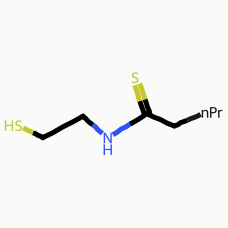 CCCCC(=S)NCCS